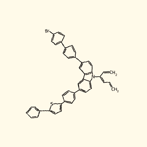 C=C/C=C(\C=C)n1c2ccc(-c3ccc(-c4ccc(Br)cc4)cc3)cc2c2cc(-c3ccc(-c4ccc(-c5ccccc5)s4)cc3)ccc21